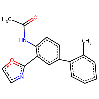 CC(=O)Nc1ccc(-c2ccccc2C)cc1-c1ncco1